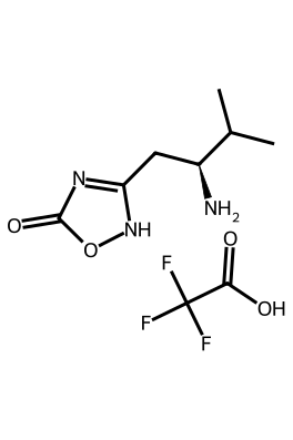 CC(C)[C@@H](N)Cc1nc(=O)o[nH]1.O=C(O)C(F)(F)F